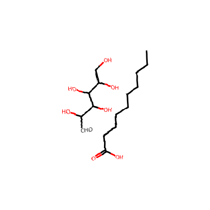 CCCCCCCCCC(=O)O.O=CC(O)C(O)C(O)C(O)CO